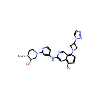 CO[C@@H]1CCN(c2cc(Nc3cc4c(C(C)C)ccc(N5CC(n6ccnn6)C5)c4cn3)ccn2)C[C@H]1O